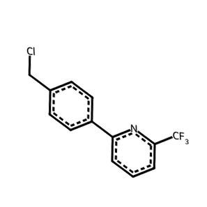 FC(F)(F)c1cccc(-c2ccc(CCl)cc2)n1